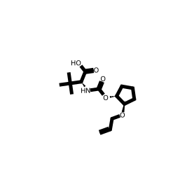 C=CCO[C@@H]1CCC[C@H]1OC(=O)N[C@@H](C(=O)O)C(C)(C)C